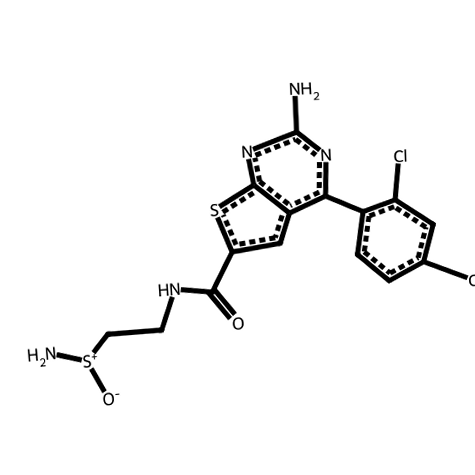 Nc1nc(-c2ccc(Cl)cc2Cl)c2cc(C(=O)NCC[S+](N)[O-])sc2n1